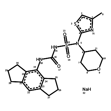 Cc1csc(N(C2CCOCC2)S(=O)(=O)NC(=O)Nc2c3c(cc4c2CCC4)CCC3)n1.[NaH]